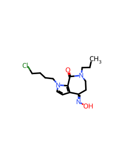 CCCN1CCC(=NO)c2ccn(CCCCCl)c2C1=O